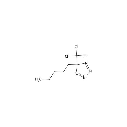 CCCCCC1(C(Cl)(Cl)Cl)N=NN=N1